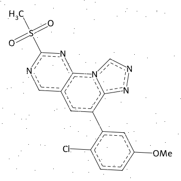 COc1ccc(Cl)c(-c2cc3cnc(S(C)(=O)=O)nc3n3cnnc23)c1